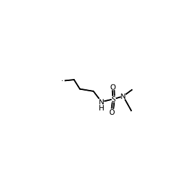 [CH2]CCCNS(=O)(=O)N(C)C